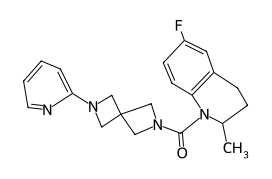 CC1CCc2cc(F)ccc2N1C(=O)N1CC2(C1)CN(c1ccccn1)C2